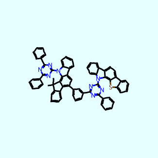 CC1(C)c2ccccc2-c2c(-c3cccc(-c4nc(-c5ccccc5)nc(-n5c6ccccc6c6ccc7c8ccccc8sc7c65)n4)c3)cc3c4ccccc4n(-c4nc(-c5ccccc5)nc(-c5ccccc5)n4)c3c21